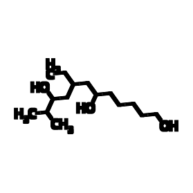 CCC(CC(O)CCCCCO)CC(O)C(C)C